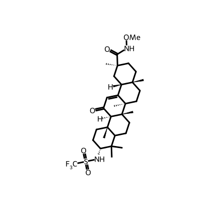 CONC(=O)[C@@]1(C)CC[C@]2(C)CC[C@]3(C)C(=CC(=O)[C@@H]4[C@@]5(C)CC[C@@H](NS(=O)(=O)C(F)(F)F)C(C)(C)C5CC[C@]43C)[C@@H]2C1